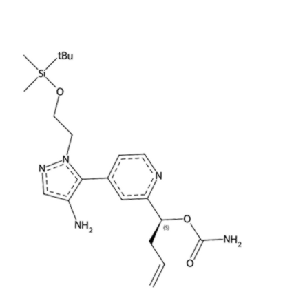 C=CC[C@H](OC(N)=O)c1cc(-c2c(N)cnn2CCO[Si](C)(C)C(C)(C)C)ccn1